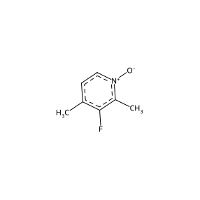 Cc1cc[n+]([O-])c(C)c1F